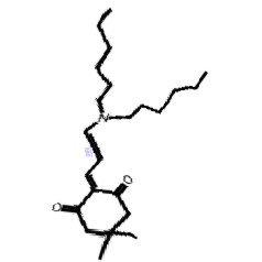 CCCCCCN(/C=C/C=C1C(=O)CC(C)(C)CC1=O)CCCCCC